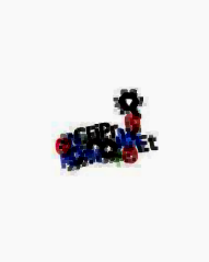 CCn1c(COCc2ccccc2)nn(-c2cc3c(C(C)C)cc(N4C=CN=C5OCN(C(F)(F)F)C54)nc3cc2F)c1=O